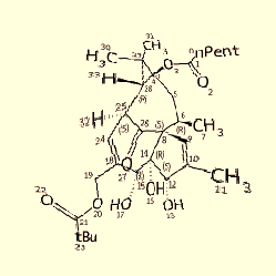 CCCCCC(=O)O[C@@]12C[C@@H](C)[C@]34C=C(C)[C@H](O)[C@@]3(O)[C@H](O)C(COC(=O)C(C)(C)C)=C[C@H](C4=O)[C@@H]1C2(C)C